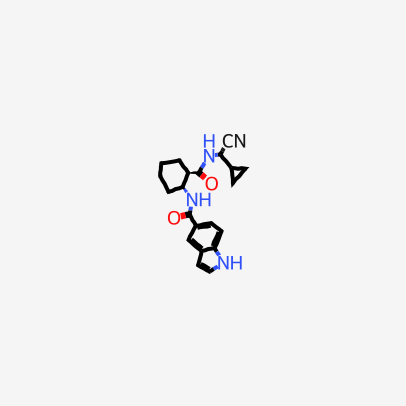 N#CC(NC(=O)[C@@H]1CCCC[C@@H]1NC(=O)c1ccc2[nH]ccc2c1)C1CC1